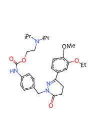 CCOc1cc(C2=NN(Cc3ccc(NC(=O)OCCN(C(C)C)C(C)C)cc3)C(=O)CC2)ccc1OC